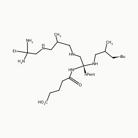 CCCCC[C@@](CNCC(C)CNCC(N)(N)CC)(NCC(C)C[C@H](C)CC)NC(=O)CCCC(=O)O